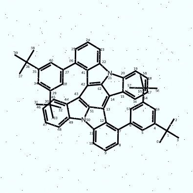 CC(C)(C)c1cc(-c2cccc3c2c2c4c5ccccc5n5c6cccc(-c7cc(C(C)(C)C)cc(C(C)(C)C)c7)c6c(c6c7ccccc7n3c62)c45)cc(C(C)(C)C)c1